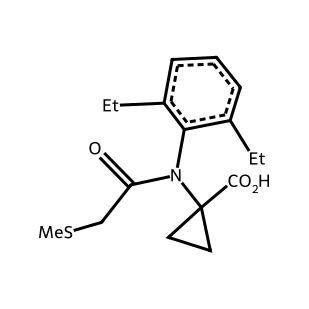 CCc1cccc(CC)c1N(C(=O)CSC)C1(C(=O)O)CC1